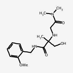 COc1ccccc1CNC(=O)C(C)(CO)NCC(=O)N(C)C